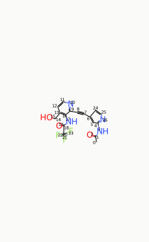 CC(=O)Nc1cc(C#Cc2nccc(CO)c2NC(=O)C(F)(F)F)ccn1